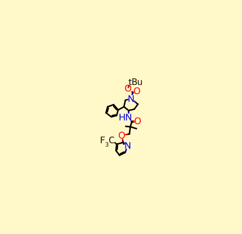 CC(C)(C)OC(=O)N1CCC(NC(=O)C(C)(C)COc2ncccc2C(F)(F)F)C(c2ccccc2)C1